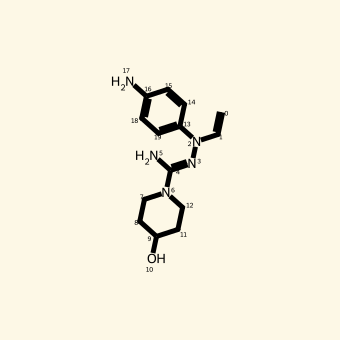 C=CN(/N=C(\N)N1CCC(O)CC1)c1ccc(N)cc1